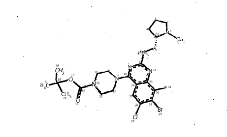 CN1CCC[C@H]1CNc1nc(N2CCN(C(=O)OC(C)(C)C)CC2)c2cc(Cl)c(Br)c(F)c2n1